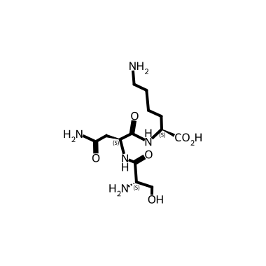 NCCCC[C@H](NC(=O)[C@H](CC(N)=O)NC(=O)[C@@H](N)CO)C(=O)O